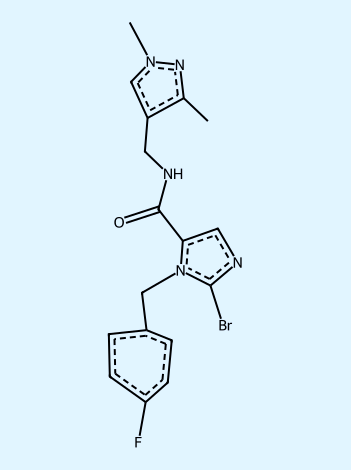 Cc1nn(C)cc1CNC(=O)c1cnc(Br)n1Cc1ccc(F)cc1